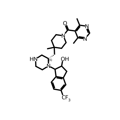 Cc1ncnc(C)c1C(=O)N1CCC(C)(C[C@H]2CNCCN2C2c3ccc(C(F)(F)F)cc3CC2O)CC1